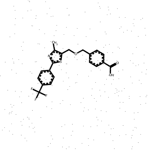 Cc1nc(-c2ccc(C(F)(F)F)cc2)sc1COCc1ccc(C(=O)O)cc1